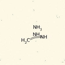 C=C=N.N.N